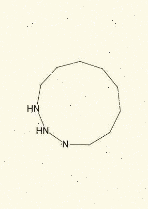 C1CCCCNN[N]CCC1